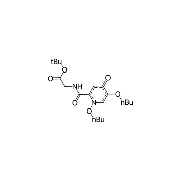 CCCCOc1cn(OCCCC)c(C(=O)NCC(=O)OC(C)(C)C)cc1=O